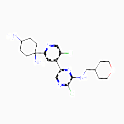 NC1CCC(N)(c2cc(-c3cnc(Cl)c(NCC4CCOCC4)n3)c(Cl)cn2)CC1